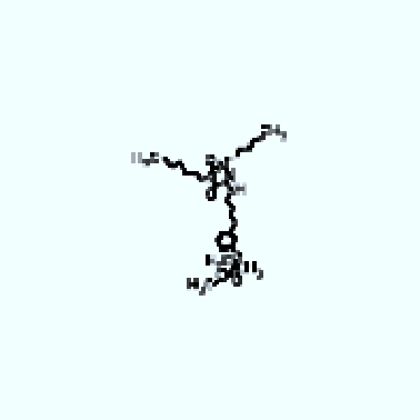 CCCCCCCn1nc(NCCCCc2cccc(OC(C)(C)C(=O)OCC)c2)c(=O)n(CCCCCCC)c1=O